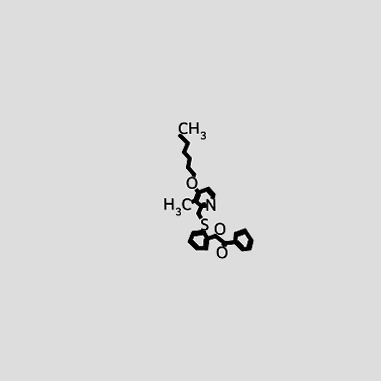 CCCCCCCOc1ccnc(CSc2ccccc2C(=O)C(=O)c2ccccc2)c1C